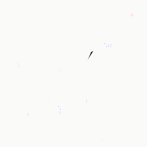 OCCNC[C@H]1CC[C@@H]2[C@H](O1)c1cc(Br)cc(F)c1N[C@H]2C1C=CC=CC1